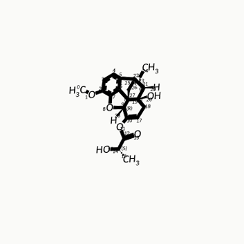 COc1ccc2c3c1O[C@H]1C(OC(=O)[C@H](C)O)=CC[C@@]4(O)[C@@H](C2)N(C)CC[C@]314